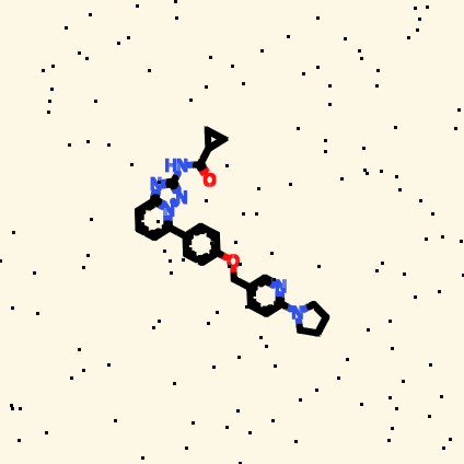 O=C(Nc1nc2cccc(-c3ccc(OCc4ccc(N5CCCC5)nc4)cc3)n2n1)C1CC1